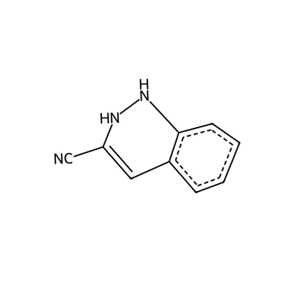 N#CC1=Cc2ccccc2NN1